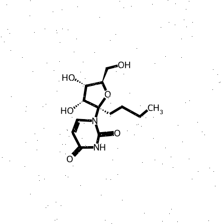 CCCC[C@@]1(n2ccc(=O)[nH]c2=O)O[C@H](CO)[C@@H](O)[C@H]1O